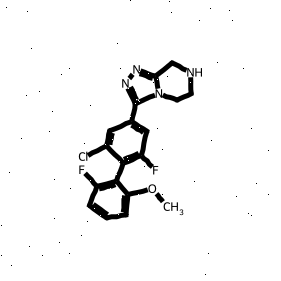 COc1cccc(F)c1-c1c(F)cc(-c2nnc3n2CCNC3)cc1Cl